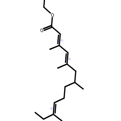 CCOC(=O)/C=C(C)/C=C(\C)CC(C)CC/C=C(\C)CC